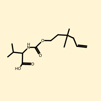 C=CCC(C)(C)CCOC(=O)NC(C(=O)O)C(C)C